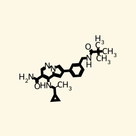 C[C@@H](Nc1c(C(N)=O)cnn2cc(-c3cccc(CNC(=O)C(C)(C)C)c3)cc12)C1CC1